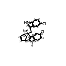 C[C@@]1(Cc2c[nH]c3ccc(Cl)cc23)c2c([nH]c3ccc(Cl)cc23)C2C=C[C@@H]1C2